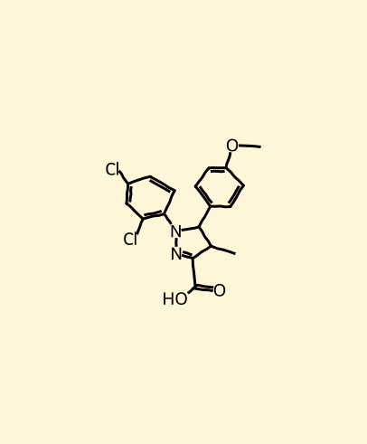 COc1ccc(C2C(C)C(C(=O)O)=NN2c2ccc(Cl)cc2Cl)cc1